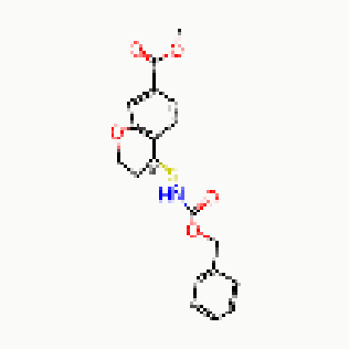 COC(=O)c1ccc2c(c1)OCC[C@@H]2SNC(=O)OCc1ccccc1